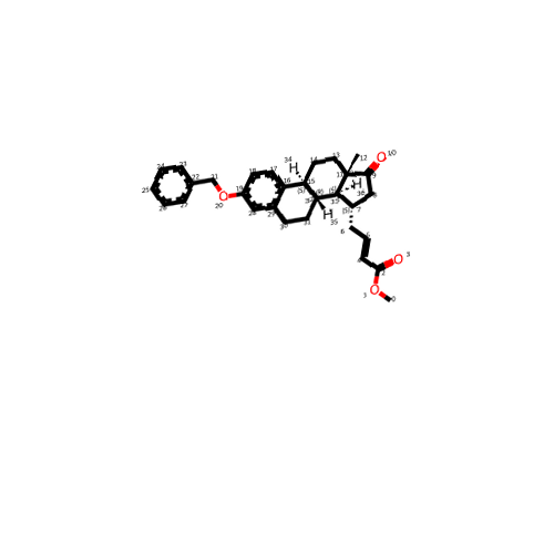 COC(=O)C=CC[C@H]1CC(=O)[C@@]2(C)CC[C@@H]3c4ccc(OCc5ccccc5)cc4CC[C@H]3[C@H]12